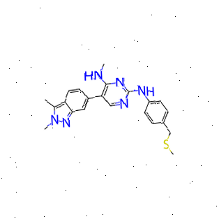 CNc1nc(Nc2ccc(CSC)cc2)ncc1-c1ccc2c(C)n(C)nc2c1